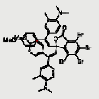 COc1ccc(C(=CC2(C=C(c3ccc(OC)cc3)c3ccc(N(C)C)c(C)c3)OC(=O)c3c(Br)c(Br)c(Br)c(Br)c32)c2ccc(N(C)C)c(C)c2)cc1